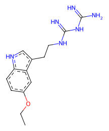 CCOc1ccc2[nH]cc(CCNC(=N)NC(=N)N)c2c1